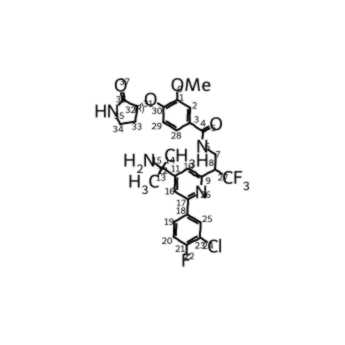 COc1cc(C(=O)NCC(c2cc(C(C)(C)N)cc(-c3ccc(F)c(Cl)c3)n2)C(F)(F)F)ccc1O[C@@H]1CCNC1=O